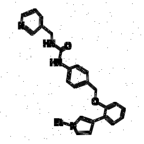 CCn1ccc(-c2ccccc2OCc2ccc(NC(=O)NCc3cccnc3)cc2)c1